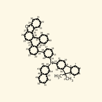 CC1(C)c2ccccc2-c2ccc(N(c3cccc(-c4cccc5c6ccc7oc8ccccc8c7c6c6ccccc6c45)c3)c3ccc4ccccc4c3)cc21